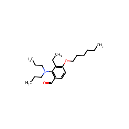 CCCCCCOc1ccc(C=O)c(N(CCC)CCC)c1CC